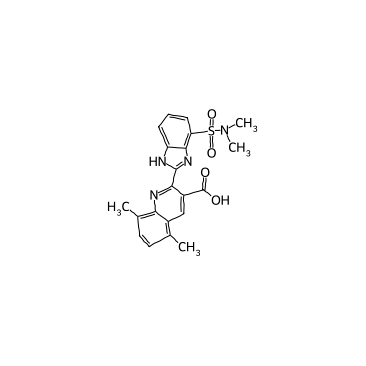 Cc1ccc(C)c2nc(-c3nc4c(S(=O)(=O)N(C)C)cccc4[nH]3)c(C(=O)O)cc12